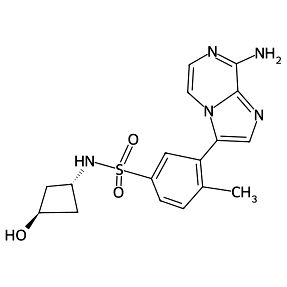 Cc1ccc(S(=O)(=O)N[C@H]2C[C@H](O)C2)cc1-c1cnc2c(N)nccn12